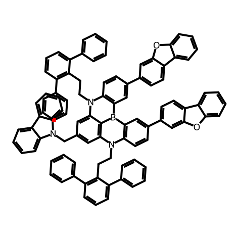 c1ccc(-c2cccc(-c3ccccc3)c2CCN2c3ccc(-c4ccc5c(c4)oc4ccccc45)cc3B3c4cc(-c5ccc6c(c5)oc5ccccc56)ccc4N(CCc4c(-c5ccccc5)cccc4-c4ccccc4)c4cc(Cn5c6ccccc6c6ccccc65)cc2c43)cc1